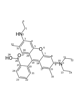 CCNc1cc2oc3cc(=[N+](CC)CC)c(C)cc-3c(-c3ccccc3C(=O)O)c2cc1C